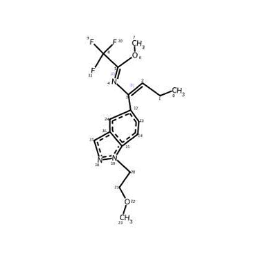 CC/C=C(/N=C(\OC)C(F)(F)F)c1ccc2c(cnn2CCOC)c1